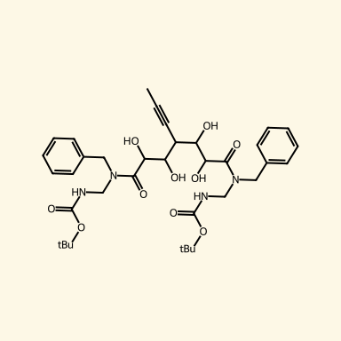 CC#CC(C(O)C(O)C(=O)N(CNC(=O)OC(C)(C)C)Cc1ccccc1)C(O)C(O)C(=O)N(CNC(=O)OC(C)(C)C)Cc1ccccc1